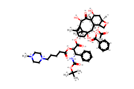 CC(=O)O[C@@]12CO[C@@H]1C[C@H](O)[C@@]1(C)C(=O)[C@H](O)C3=C(C)[C@@H](OC(=O)C(OC(=O)CCCCN4CCN(C)CC4)[C@@H](NC(=O)OC(C)(C)C)c4ccccc4)C[C@@](O)([C@@H](OC(=O)c4ccccc4)[C@@H]21)C3(C)C